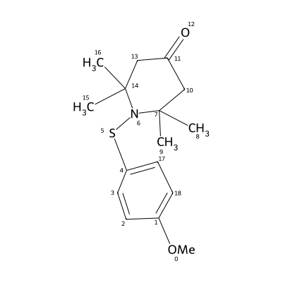 COc1ccc(SN2C(C)(C)CC(=O)CC2(C)C)cc1